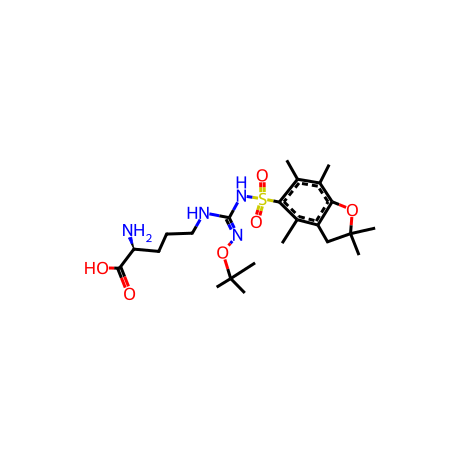 Cc1c(C)c(S(=O)(=O)NC(=NOC(C)(C)C)NCCC[C@H](N)C(=O)O)c(C)c2c1OC(C)(C)C2